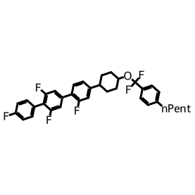 CCCCCc1ccc(C(F)(F)OC2CCC(c3ccc(-c4cc(F)c(-c5ccc(F)cc5)c(F)c4)c(F)c3)CC2)cc1